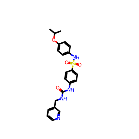 CC(C)Oc1ccc(NS(=O)(=O)c2ccc(NC(=O)NCc3cccnc3)cc2)cc1